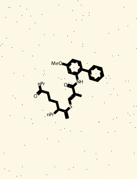 C=C(S/C=C(\C)C(=O)Nc1cc(OC)ccc1-c1ccccc1)C(CCC)CCCC(=O)CCC